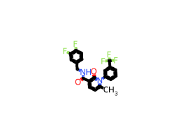 Cc1ccc(C(=O)NCc2ccc(F)c(F)c2)c(=O)n1-c1cccc(C(F)(F)F)c1